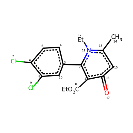 CCOC(=O)c1c(-c2ccc(Cl)c(Cl)c2)n(CC)c(C)cc1=O